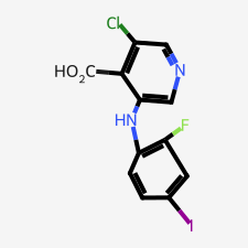 O=C(O)c1c(Cl)cncc1Nc1ccc(I)cc1F